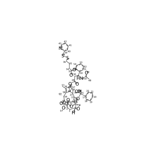 CO[C@H]1C[C@H]2OC[C@@]2(OC(C)=O)[C@H]2[C@H](OC(=O)c3ccccc3)[C@]3(O)C[C@H](OC(=O)[C@H](OC(=O)CCCSSc4ccccn4)C(NC(C)=O)c4ccccc4)C(C)=C([C@@H](C)C(=O)[C@]12C)C3(C)C